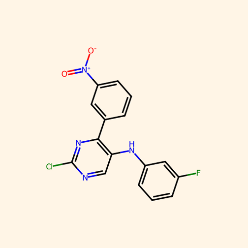 O=[N+]([O-])c1cccc(-c2nc(Cl)ncc2Nc2cccc(F)c2)c1